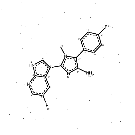 Cn1c(-c2c[nH]c3ncc(F)cc23)nc(N)c1-c1ccc(F)cc1